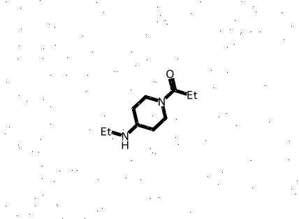 CCNC1CCN(C(=O)CC)CC1